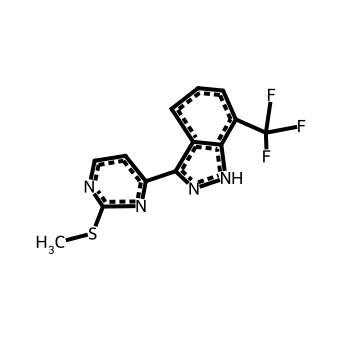 CSc1nccc(-c2n[nH]c3c(C(F)(F)F)cccc23)n1